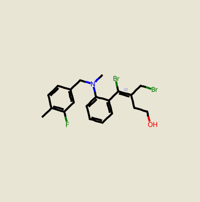 Cc1ccc(CN(C)c2ccccc2/C(Br)=C(/CBr)CCO)cc1F